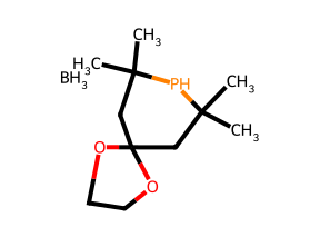 B.CC1(C)CC2(CC(C)(C)P1)OCCO2